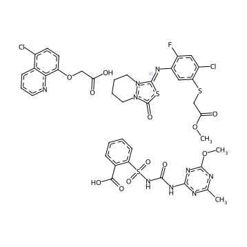 COC(=O)CSc1cc(/N=c2\sc(=O)n3n2CCCC3)c(F)cc1Cl.COc1nc(C)nc(NC(=O)NS(=O)(=O)c2ccccc2C(=O)O)n1.O=C(O)COc1ccc(Cl)c2cccnc12